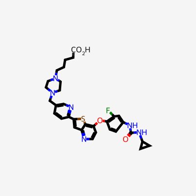 O=C(O)CCCCN1CCN(Cc2ccc(-c3cc4nccc(Oc5ccc(NC(=O)NC6CC6)cc5F)c4s3)nc2)CC1